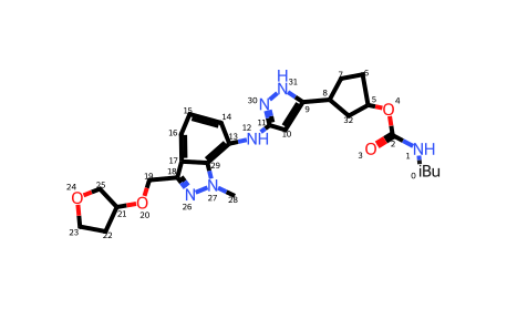 CCC(C)NC(=O)OC1CCC(c2cc(Nc3cccc4c(COC5CCOC5)nn(C)c34)n[nH]2)C1